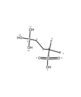 O=S(=O)(O)C(F)(F)CC[Si](O)(O)O